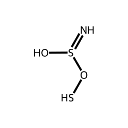 N=S(O)OS